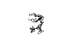 CCOP(=O)(OCC)SCCC[Si](C)(OCC(C)CO)OCC(C)CO[Si](C)(CCCS)OCC(C)CO